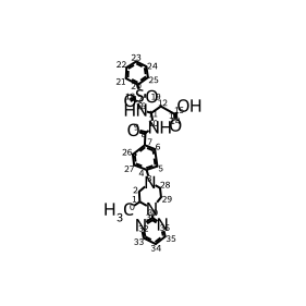 CC1CN(c2ccc(C(=O)NC(CC(=O)O)NS(=O)(=O)c3ccccc3)cc2)CCN1c1ncccn1